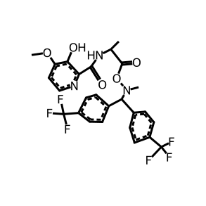 COc1ccnc(C(=O)NC(C)C(=O)ON(C)C(c2ccc(C(F)(F)F)cc2)c2ccc(C(F)(F)F)cc2)c1O